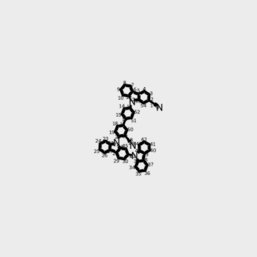 N#Cc1ccc2c3ccccc3n(-c3ccc(-c4ccc(-n5c6ccccc6c6ccc(-n7c8ccccc8c8ccccc87)cc65)c(C#N)c4)cc3)c2c1